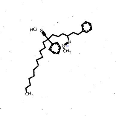 CCCCCCCCCCCCC(C#N)(CCCC(CCc1ccccc1)/N=N/C)c1ccccc1.Cl